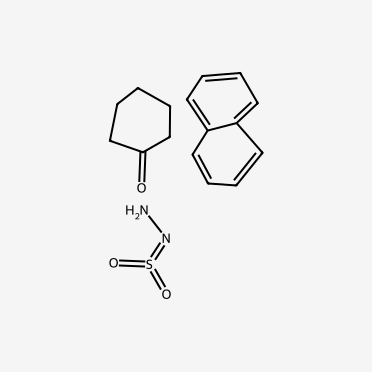 NN=S(=O)=O.O=C1CCCCC1.c1ccc2ccccc2c1